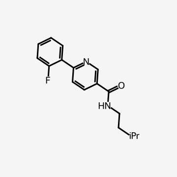 CC(C)CCNC(=O)c1ccc(-c2ccccc2F)nc1